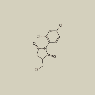 O=C1CC(CCl)C(=O)N1c1ccc(Cl)cc1Cl